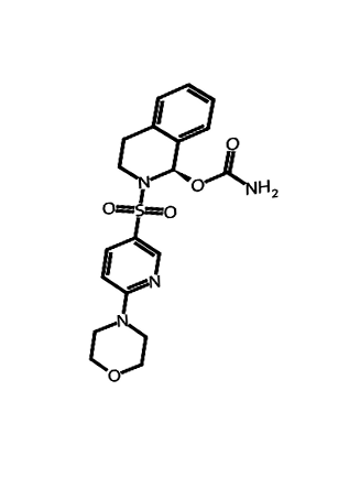 NC(=O)O[C@@H]1c2ccccc2CCN1S(=O)(=O)c1ccc(N2CCOCC2)nc1